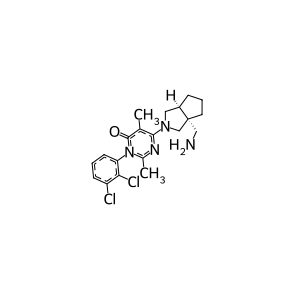 Cc1c(N2C[C@H]3CCC[C@@]3(CN)C2)nc(C)n(-c2cccc(Cl)c2Cl)c1=O